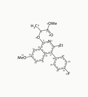 CCc1nc(OC(C)C(=O)OC)c2cc(OC)ccc2c1-c1ccc(F)cc1